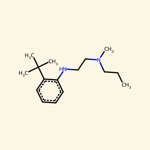 CCCN(C)CCNc1ccccc1C(C)(C)C